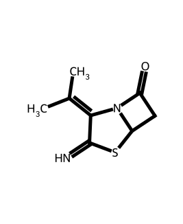 CC(C)=C1C(=N)SC2CC(=O)N12